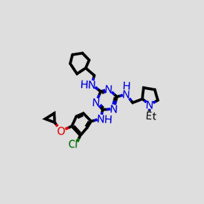 CCN1CCCC1CNc1nc(NCC2CCCCC2)nc(Nc2ccc(OC3CC3)c(Cl)c2)n1